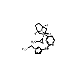 CCn1ccc(Nc2nccc(N3C[C@H]4CC[C@@H](C3)N4C(=O)[C@@H]3C[C@H]3C)n2)c1